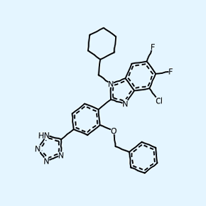 Fc1cc2c(nc(-c3ccc(-c4nnn[nH]4)cc3OCc3ccccc3)n2CC2CCCCC2)c(Cl)c1F